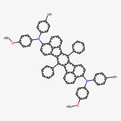 CCCCOc1ccc(N(c2ccc(CCC)cc2)c2ccc3c4c(-c5ccccc5)c5c6cccc7c(N(c8ccc(CCC)cc8)c8ccc(OCCCC)cc8)ccc(c5c(-c5ccccc5)c4c4cccc2c43)c76)cc1